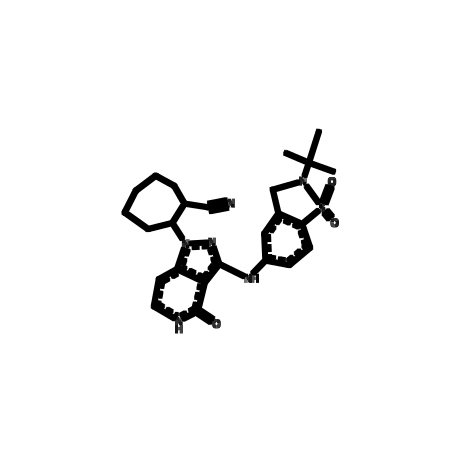 CC(C)(C)N1Cc2cc(Nc3nn(C4CCCCCC4C#N)c4cc[nH]c(=O)c34)ccc2S1(=O)=O